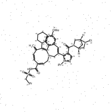 C=C1/C=C\C(C(=O)NS(=O)(=O)CC(C)C)=C/CN2CC(c3c(C(=O)N4C[C@H]5C[C@@H]4CN5CC)cnn3C(C)C)=Cc3cc(OC)ccc3/C2=C/1C1CCCCC1